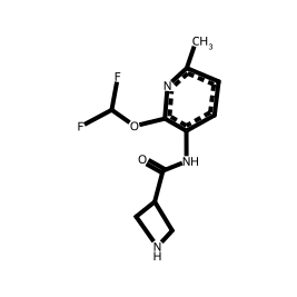 Cc1ccc(NC(=O)C2CNC2)c(OC(F)F)n1